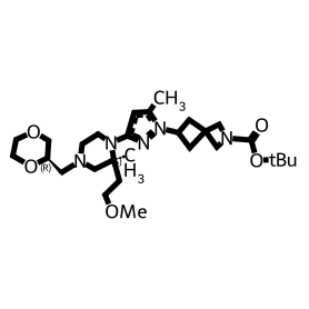 COCC[C@@]1(C)CN(C[C@@H]2COCCO2)CCN1c1cc(C)n(C2CC3(C2)CN(C(=O)OC(C)(C)C)C3)n1